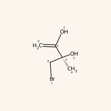 C=C(O)[C@@](C)(O)CBr